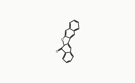 O=C1c2ccccc2C=C2c3cc4ccccc4cc3OC12